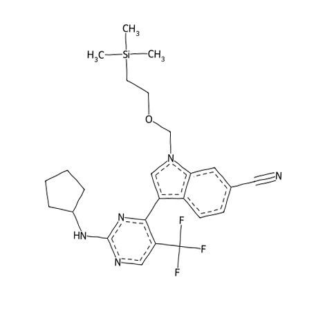 C[Si](C)(C)CCOCn1cc(-c2nc(NC3CCCC3)ncc2C(F)(F)F)c2ccc(C#N)cc21